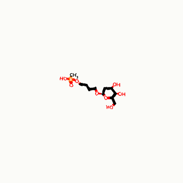 CP(=O)(O)OCCCCO[C@H]1C[C@@H](O)[C@@H](O)C(CO)O1